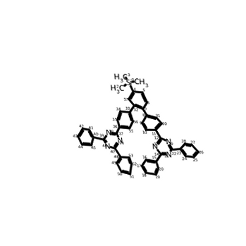 C[Si](C)(C)c1ccc(-c2ccc(-c3nc(-c4ccccc4)nc(-c4ccccc4)n3)cc2)c(-c2ccc(-c3nc(-c4ccccc4)nc(-c4ccccc4)n3)cc2)c1